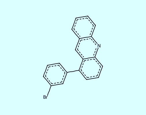 Brc1cccc(-c2cccc3nc4ccccc4cc23)c1